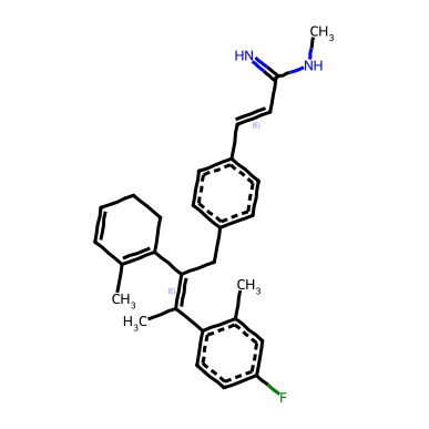 CNC(=N)/C=C/c1ccc(C/C(C2=C(C)C=CCC2)=C(/C)c2ccc(F)cc2C)cc1